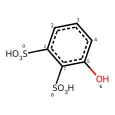 O=S(=O)(O)c1[c]ccc(O)c1S(=O)(=O)O